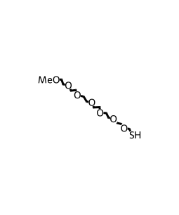 COCCOCCOCCOCCOCCOCCOCS